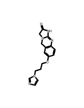 O=C1CN2Cc3cc(OCCCn4ccnc4)ccc3N=C2N1